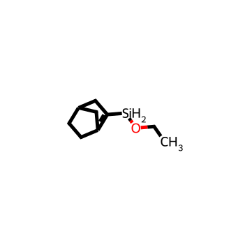 CCO[SiH2]C1=C2CCC(C2)C1